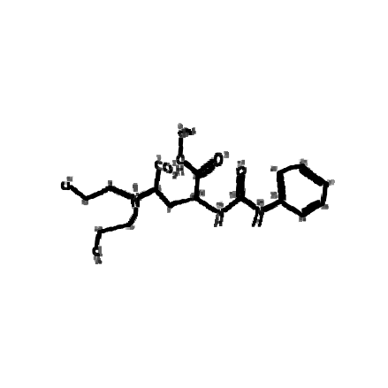 CC(C)(C)OC(=O)[C@H](CC(C(=O)O)N(CCCl)CCCl)NC(=O)Nc1ccccc1